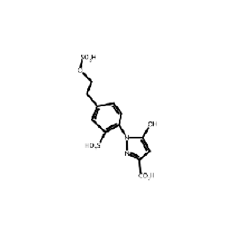 O=C(O)c1cc(O)n(-c2ccc(CCOS(=O)(=O)O)cc2S(=O)(=O)O)n1